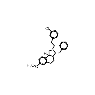 COc1ccc2c(c1)CCC1[C@@H]2CN(CCc2cccc(Cl)c2)[C@@H]1Cc1ccccc1